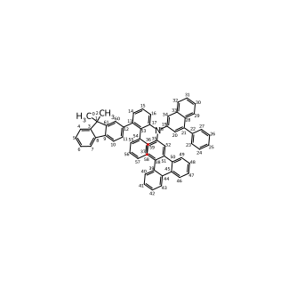 CC1(C)c2ccccc2-c2ccc(-c3cccc(N(c4cc(-c5ccccc5)c5ccccc5c4)c4ccc5c6ccccc6c6ccccc6c5c4)c3-c3ccccc3)cc21